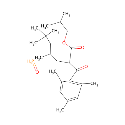 Cc1cc(C)c(C(=O)C(CC(C)CC(C)(C)C)C(=O)OCC(C)C)c(C)c1.O=[PH3]